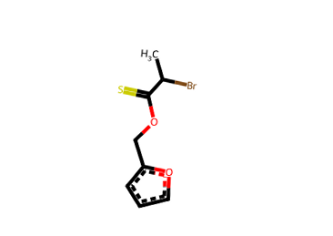 CC(Br)C(=S)OCc1ccco1